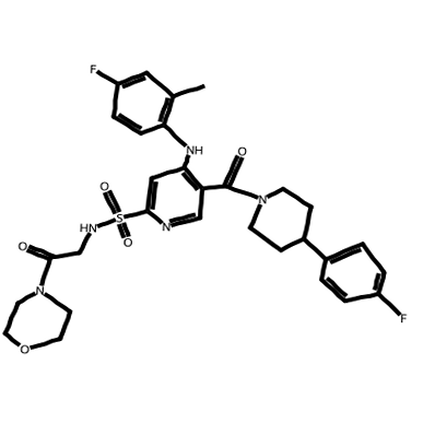 Cc1cc(F)ccc1Nc1cc(S(=O)(=O)NCC(=O)N2CCOCC2)ncc1C(=O)N1CCC(c2ccc(F)cc2)CC1